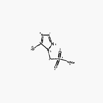 CNS(=O)(=O)Cn1nnnc1S